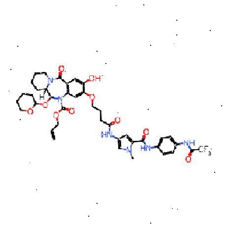 C=CCOC(=O)N1c2cc(OCCCC(=O)Nc3cc(C(=O)Nc4ccc(NC(=O)C(F)(F)F)cc4)n(C)c3)c(O)cc2C(=O)N2CCCC[C@H]2C1OC1CCCCO1